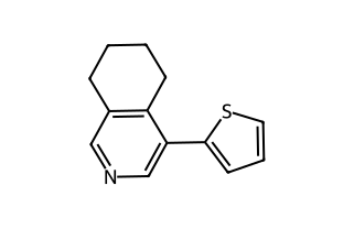 c1csc(-c2cncc3c2CCCC3)c1